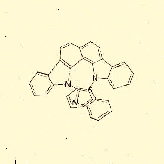 c1ccc(-n2c3ccccc3c3ccc4ccc5c6ccccc6n(-c6nc7ccccc7s6)c5c4c32)cc1